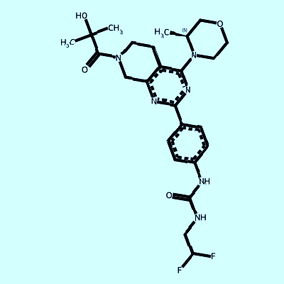 C[C@H]1COCCN1c1nc(-c2ccc(NC(=O)NCC(F)F)cc2)nc2c1CCN(C(=O)C(C)(C)O)C2